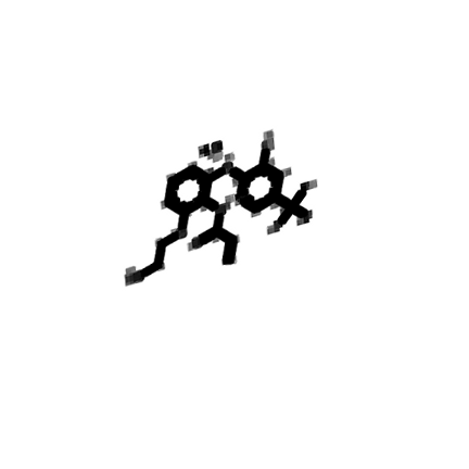 C=CC(=O)Oc1c(OCCO)cccc1Oc1ncc(C(F)(F)F)cc1Cl.O